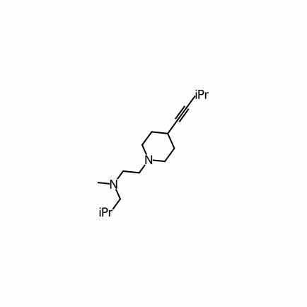 CC(C)C#CC1CCN(CCN(C)CC(C)C)CC1